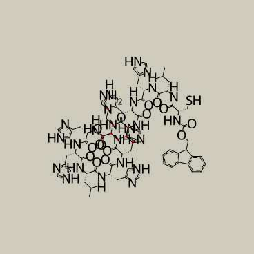 CC(C)C[C@H](NC(=O)[C@H](CS)NC(=O)OCC1c2ccccc2-c2ccccc21)C(=O)N[C@@H](Cc1c[nH]cn1)C(=O)N[C@@H](Cc1c[nH]cn1)C(=O)N[C@@H](CC(C)C)C(=O)N[C@@H](CC(C)C)C(=O)N[C@@H](Cc1c[nH]cn1)C(=O)N[C@@H](Cc1c[nH]cn1)C(=O)N[C@@H](CC(C)C)C(=O)N[C@@H](Cc1c[nH]cn1)C(=O)N[C@@H](Cc1c[nH]cn1)C(=O)N[C@@H](CCCCN)C(=O)O